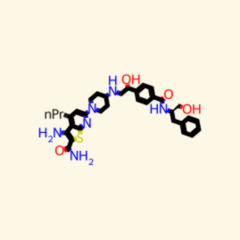 CCCc1cc(N2CCC(NCC(O)c3ccc(C(=O)N[C@@H](CO)Cc4ccccc4)cc3)CC2)nc2sc(C(N)=O)c(N)c12